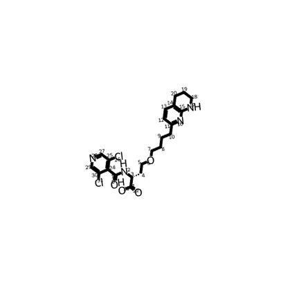 O=C(N[C@H](CCOCCCCc1ccc2c(n1)NCCC2)C(=O)O)c1c(Cl)cncc1Cl